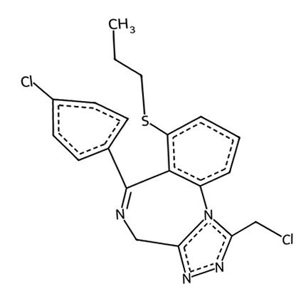 CCCSc1cccc2c1C(c1ccc(Cl)cc1)=NCc1nnc(CCl)n1-2